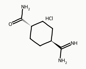 Cl.N=C(N)[C@H]1CC[C@H](C(N)=O)CC1